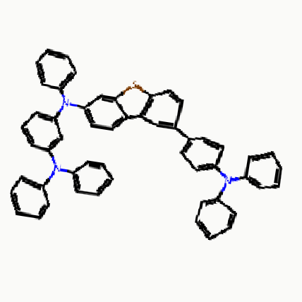 c1ccc(N(c2ccccc2)c2ccc(-c3ccc4sc5cc(N(c6ccccc6)c6cccc(N(c7ccccc7)c7ccccc7)c6)ccc5c4c3)cc2)cc1